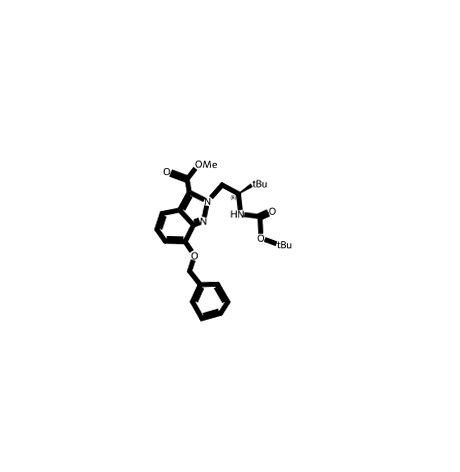 COC(=O)c1c2cccc(OCc3ccccc3)c2nn1C[C@H](NC(=O)OC(C)(C)C)C(C)(C)C